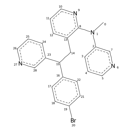 CN(c1cccnc1)c1ncccc1CC(c1ccc(Br)cc1)c1cccnc1